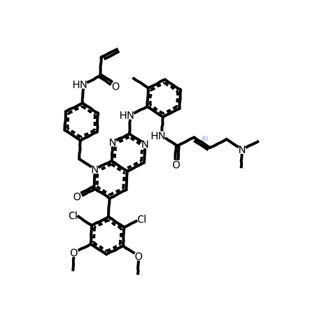 C=CC(=O)Nc1ccc(Cn2c(=O)c(-c3c(Cl)c(OC)cc(OC)c3Cl)cc3cnc(Nc4c(C)cccc4NC(=O)/C=C/CN(C)C)nc32)cc1